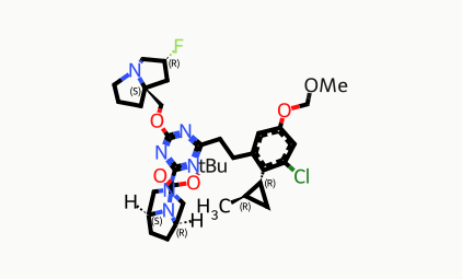 COCOc1cc(Cl)c([C@@H]2C[C@H]2C)c(CCc2nc(OC[C@@]34CCCN3C[C@H](F)C4)nc(N3C[C@H]4CC[C@@H](C3)N4C(=O)OC(C)(C)C)n2)c1